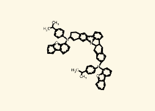 CC(C)c1ccc(N(C2=Cc3cc4c(cc3CC2)c2cccc3c2n4C2C=c4cc(N(c5ccc(C(C)C)cc5)c5cccc6c5oc5ccccc56)ccc4=CC32)c2cccc3c2oc2ccccc23)cc1